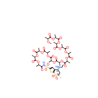 CCN[C@H]1C[C@H](C)S(=O)(=O)c2sc(S(=O)(=O)NC(=O)C(C)OC(=O)C(C)OC(=O)C(C)OC(=O)C(C)OC(=O)C(C)OC(=O)C(C)OC(=O)C(C)OC(=O)C(C)OC(=O)C(C)OC(=O)C(C)OC(=O)C(C)OC(=O)C(C)OC)cc21